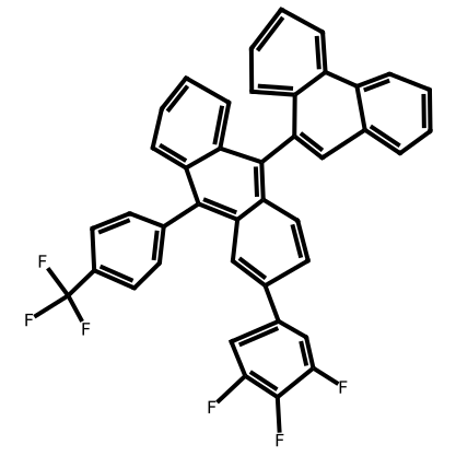 Fc1cc(-c2ccc3c(-c4cc5ccccc5c5ccccc45)c4ccccc4c(-c4ccc(C(F)(F)F)cc4)c3c2)cc(F)c1F